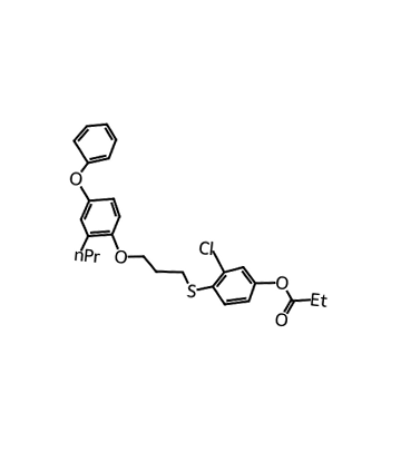 CCCc1cc(Oc2ccccc2)ccc1OCCCSc1ccc(OC(=O)CC)cc1Cl